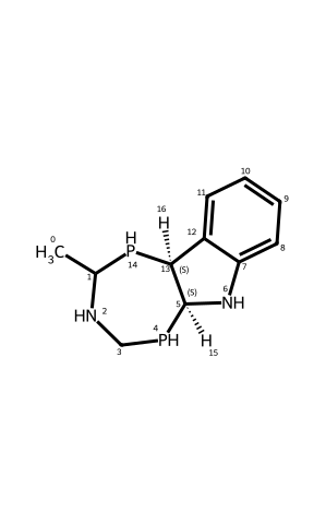 CC1NCP[C@@H]2Nc3ccccc3[C@@H]2P1